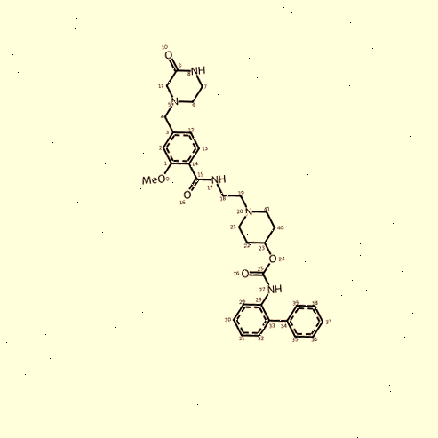 COc1cc(CN2CCNC(=O)C2)ccc1C(=O)NCCN1CCC(OC(=O)Nc2ccccc2-c2ccccc2)CC1